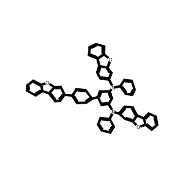 c1ccc(N(c2cc(-c3ccc(-c4ccc5c(c4)oc4ccccc45)cc3)cc(N(c3ccccc3)c3ccc4c(c3)oc3ccccc34)c2)c2ccc3c(c2)oc2ccccc23)cc1